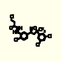 O=C(CCCl)NNc1cc(C2=NOC(c3cc(Cl)cc(Cl)c3)(C(F)(F)F)C2)ccc1Cl